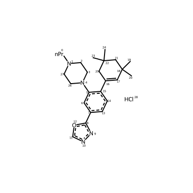 CCCN1CCN(c2cc(-c3nnco3)ccc2C2=CC(C)(C)CC(C)(C)C2)CC1.Cl